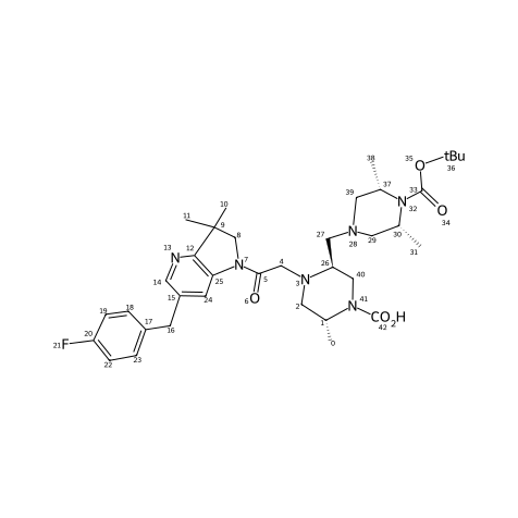 C[C@@H]1CN(CC(=O)N2CC(C)(C)c3ncc(Cc4ccc(F)cc4)cc32)[C@@H](CN2C[C@@H](C)N(C(=O)OC(C)(C)C)[C@@H](C)C2)CN1C(=O)O